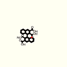 O=C(O)c1cc2ccccc2c(-c2c(C(=O)O)c(C(=O)O)cc3ccccc23)c1C(=O)O